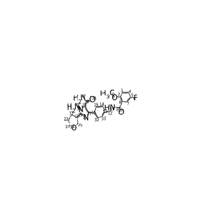 COc1ccc(F)cc1C(=O)NCc1ccc(-c2nc(C3CCCOC3)n(N)c2C(N)=O)cc1